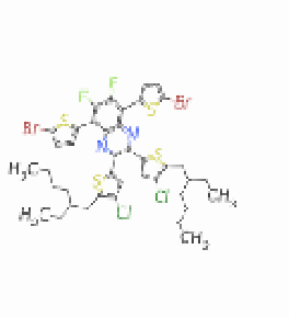 CCCCC(CC)Cc1sc(-c2nc3c(-c4ccc(Br)s4)c(F)c(F)c(-c4ccc(Br)s4)c3nc2-c2cc(Cl)c(CC(CC)CCCC)s2)cc1Cl